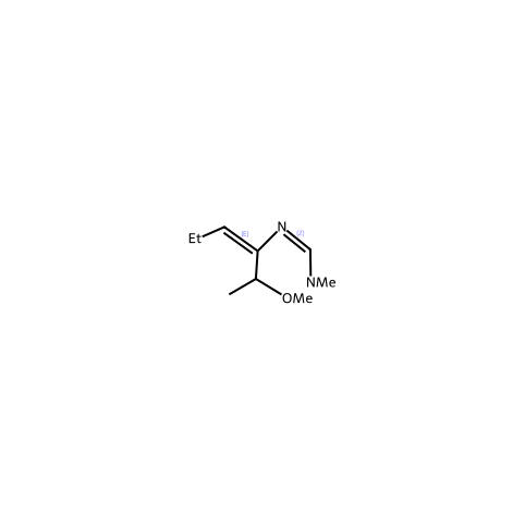 CC/C=C(/N=C\NC)C(C)OC